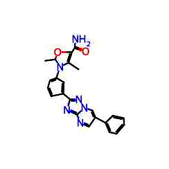 CC1=C(C(N)=O)OC(C)N1c1cccc(-c2nc3ncc(-c4ccccc4)cn3n2)c1